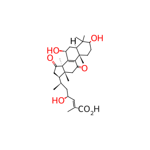 C/C(=C\[C@@H](O)C[C@@H](C)[C@H]1CC(=O)[C@@]2(C)C3=C(C(=O)C[C@]12C)[C@@]1(C)CC[C@H](O)C(C)(C)[C@@H]1C[C@@H]3O)C(=O)O